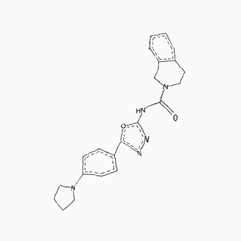 O=C(Nc1nnc(-c2ccc(N3CCCC3)cc2)o1)N1CCc2ccccc2C1